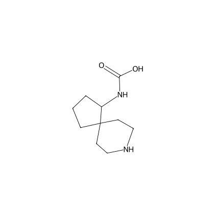 O=C(O)NC1CCCC12CCNCC2